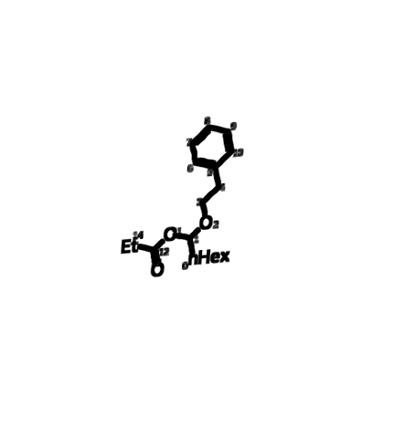 CCCCCCC(OCCc1ccccc1)OC(=O)CC